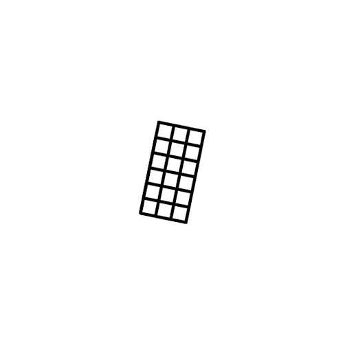 C1C2C3C4C5C6C7C8C49CC4C%10CC%11C%12C%13C%14C1C21C35C62C%141C%131C%123C%10%11C49C83C721